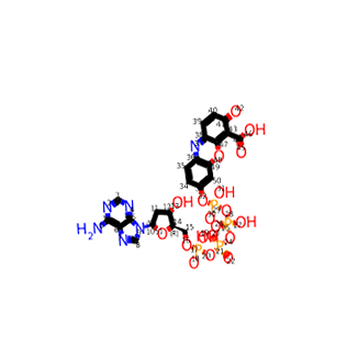 Nc1ncnc2c1ncn2[C@H]1CC(O)[C@@H](COP(=O)(O)OP(=O)(O)OP(=O)(O)OP(=O)(O)Oc2ccc3nc4ccc(=O)c(C(=O)O)c-4oc3c2)O1